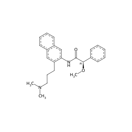 CO[C@@H](C(=O)Nc1cc2ccccc2cc1CCCN(C)C)c1ccccc1